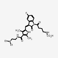 CCN(CC)CCNC(=O)c1c(C)[nH]c(C=C2C(=O)N(C(=O)CCCNC(=O)O)c3ccc(F)cc32)c1C